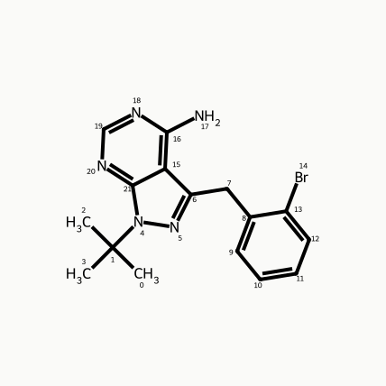 CC(C)(C)n1nc(Cc2ccccc2Br)c2c(N)ncnc21